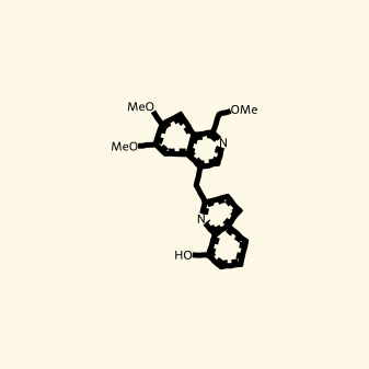 COCc1ncc(Cc2ccc3cccc(O)c3n2)c2cc(OC)c(OC)cc12